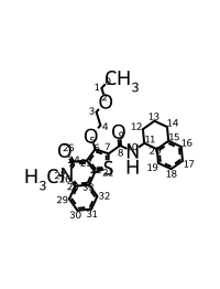 CCOCCOc1c(C(=O)NC2CCCc3ccccc32)sc2c1c(=O)n(C)c1ccccc21